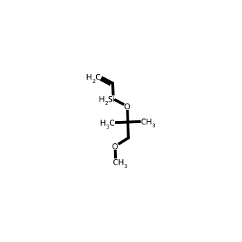 C=C[SiH2]OC(C)(C)COC